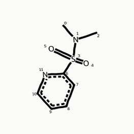 CN(C)S(=O)(=O)c1[c]cccn1